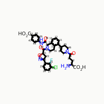 NC(CCC(=O)N1CC=C(c2cccc3c2CCN(C(=O)C2CC(c4cccc(Cl)c4F)=NO2)[C@@H]3C(=O)Nc2ccc(C(=O)O)cc2)CC1)C(=O)O